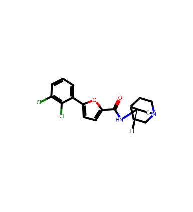 O=C(N[C@H]1CN2CCC1CC2)c1ccc(-c2cccc(Cl)c2Cl)o1